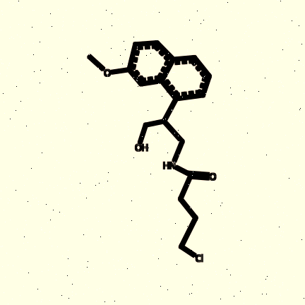 COc1ccc2cccc(C(CO)CNC(=O)CCCCl)c2c1